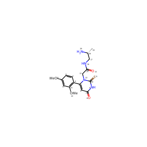 COc1ccc(-c2cc(=O)[nH]c(=S)n2CC(=O)NC[C@@H](C)N)c(OC)c1